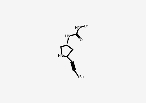 CCNC(=O)N[C@@H]1CNC(C#CC(C)(C)C)C1